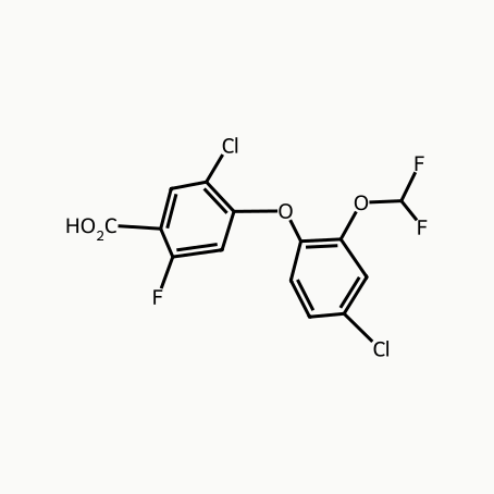 O=C(O)c1cc(Cl)c(Oc2ccc(Cl)cc2OC(F)F)cc1F